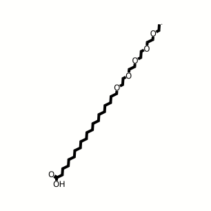 [CH2]COCCOCCOCCOCCOCCCCCCCCCCCCCCCCCCCC(=O)O